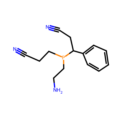 N#CCCP(CCN)C(CC#N)c1ccccc1